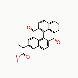 COC(=O)C(C)c1ccc2c(-c3c(C=O)ccc4ccccc34)c(C=O)ccc2c1